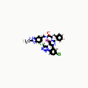 Cc1nc2ccc(CNC(=O)[C@H](Cc3ccccc3)n3cnc(-c4cc(Cl)ccc4-n4cc(Cl)nn4)cc3=O)cc2[nH]1